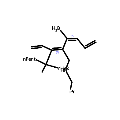 BC(=C/C=C)/C(CNCC(C)C)=C(\C=C)C(C)(CCCCC)CCCCCC